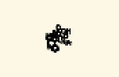 CC(C)N1CC(C2C3=C(C=CCC3)CSc3ccccc32)n2c(O)nc(=O)c(O)c2C1=O